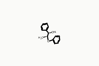 C[C@H](Oc1ccccc1)[C@H](O)c1ccccc1